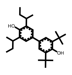 CCC(C)c1cc(-c2cc(C(C)(C)C)c(O)c(C(C)(C)C)c2)cc(C(C)CC)c1O